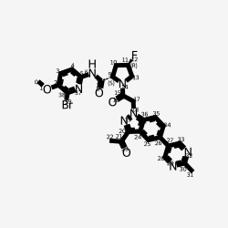 COc1ccc(NC(=O)[C@@H]2C[C@@H](F)CN2C(=O)Cn2nc(C(C)=O)c3cc(-c4cnc(C)nc4)ccc32)nc1Br